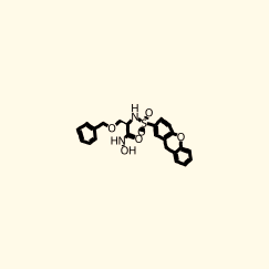 O=C(NO)[C@@H](COCc1ccccc1)NS(=O)(=O)c1ccc2c(c1)Cc1ccccc1O2